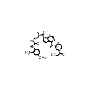 COc1ccc(NC(=O)N(C)CCN(C)C(=O)n2ccc3c(N(C)[C@H]4CN(C(=O)CC#N)CC[C@H]4C)ncnc32)c(N)c1